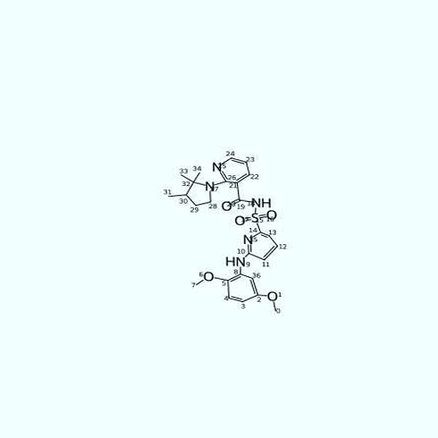 COc1ccc(OC)c(Nc2cccc(S(=O)(=O)NC(=O)c3cccnc3N3CCC(C)C3(C)C)n2)c1